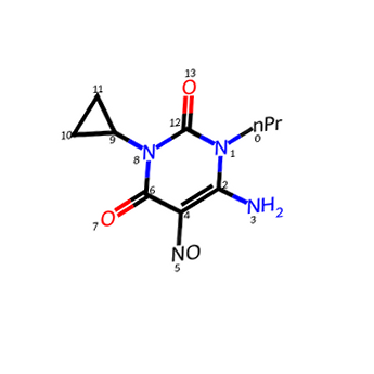 CCCn1c(N)c(N=O)c(=O)n(C2CC2)c1=O